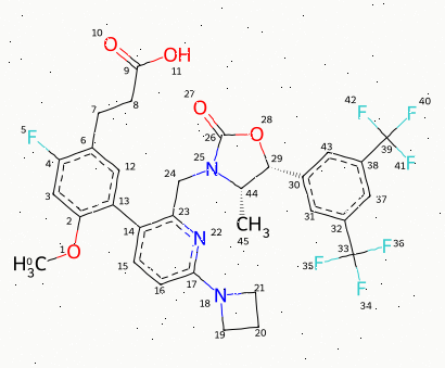 COc1cc(F)c(CCC(=O)O)cc1-c1ccc(N2CCC2)nc1CN1C(=O)O[C@H](c2cc(C(F)(F)F)cc(C(F)(F)F)c2)[C@@H]1C